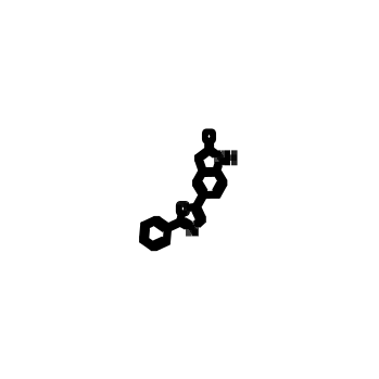 O=C1Cc2cc(-c3cnc(-c4ccccc4)o3)ccc2N1